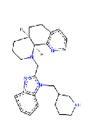 c1cnc2c(c1)CC[C@@H]1CCCN(Cc3nc4ccccc4n3CC3CCCNC3)[C@H]21